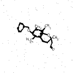 Cc1c(C)c2c(c(C)c1OCc1ccccc1)CC[C@@](C)(CC=O)O2